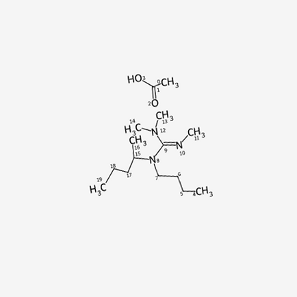 CC(=O)O.CCCCN(C(=NC)N(C)C)C(C)CCC